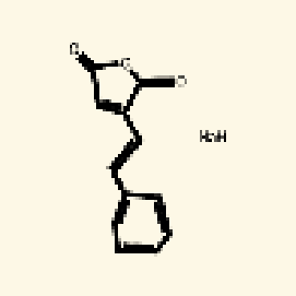 O=C1C=C(C=Cc2ccccc2)C(=O)O1.[NaH]